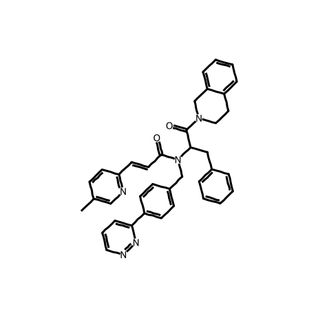 Cc1ccc(C=CC(=O)N(Cc2ccc(-c3cccnn3)cc2)C(Cc2ccccc2)C(=O)N2CCc3ccccc3C2)nc1